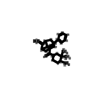 C=C1C2CC3(C(=O)N4CC[C@H](N)C(C)(C)C4)CC1CC(c1ccccc1)(C2)C3